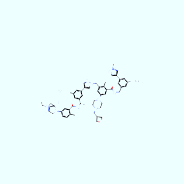 COc1cc(-c2cnn(Cc3cc(N4CCN(CC5COC5)CC4)cc(C(=O)N[C@H](C)c4cc(OC)cc(-c5cnn(C)c5)c4)c3C)c2)cc([C@@H](C)NC(=O)c2cc(N3C[C@H]4C[C@@H]3CN4CI)ccc2C)c1